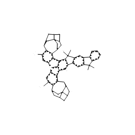 CC1(C)c2ccccc2-c2cc3c(cc21)-c1cc2c4c5c(c(C#N)cc4n4c6cc(C#N)c7c(c6c(c1C3(C)C)c24)C1CC2CC3CC7CC32C1)C1CC2CC3CC5CC23C1